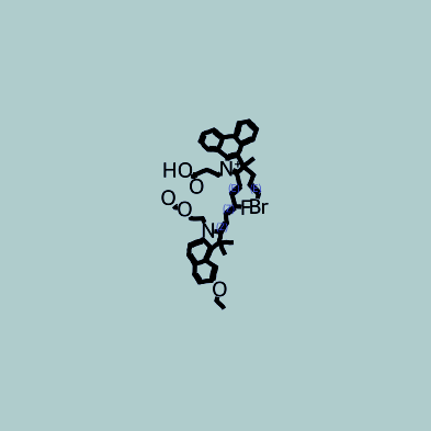 CCOc1ccc2ccc3c(c2c1)C(C)(C)/C(=C/C=C(F)/C=C/C1=[N+](CCC(=O)O)c2c(c4ccccc4c4ccccc24)C1(C)C/C=C/Br)N3CCOC=O